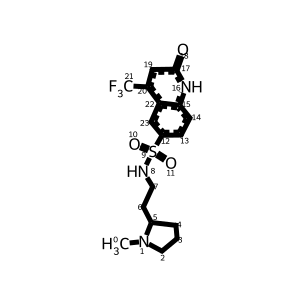 CN1CCCC1CCNS(=O)(=O)c1ccc2[nH]c(=O)cc(C(F)(F)F)c2c1